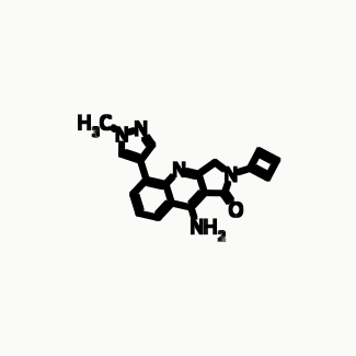 Cn1cc(-c2cccc3c(N)c4c(nc23)CN(C2=CC=C2)C4=O)cn1